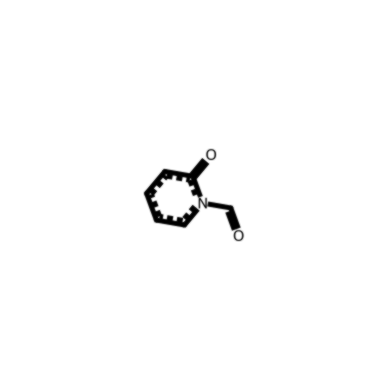 O=Cn1ccccc1=O